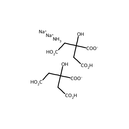 N.O=C(O)CC(O)(CC(=O)O)C(=O)[O-].O=C(O)CC(O)(CC(=O)O)C(=O)[O-].[Na+].[Na+]